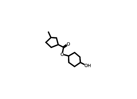 CC1CCC(C(=O)OC2CCC(O)CC2)C1